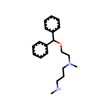 CNCCCN(C)CCOC(c1ccccc1)c1ccccc1